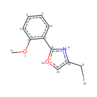 COc1ccccc1-c1nc(CI)co1